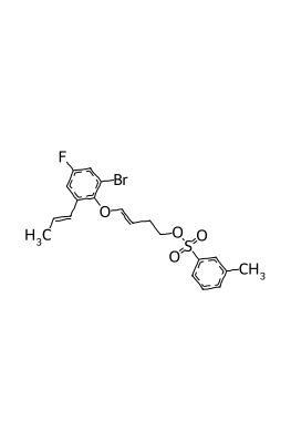 CC=Cc1cc(F)cc(Br)c1OC=CCCOS(=O)(=O)c1cccc(C)c1